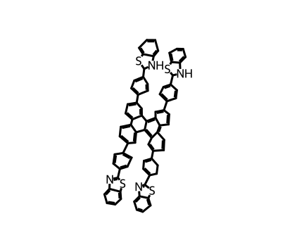 C1=C(c2ccc3c4ccc(-c5ccc(C6Nc7ccccc7S6)cc5)cc4c4c5cc(-c6ccc(C7Nc8ccccc8S7)cc6)ccc5c5ccc(-c6ccc(-c7nc8ccccc8s7)cc6)cc5c4c3c2)CCC(c2nc3ccccc3s2)=C1